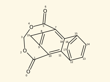 O=C1OCOC(=O)c2c3c(c1c1c4ccc(cc4)c21)C3